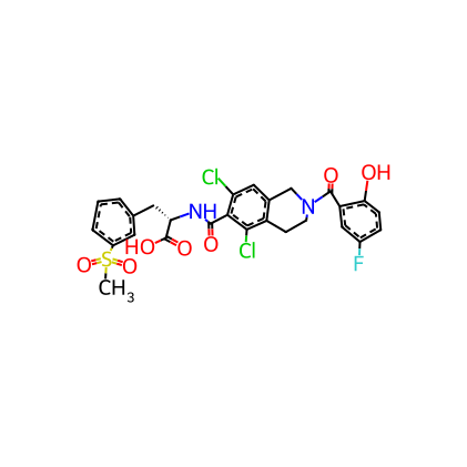 CS(=O)(=O)c1cccc(C[C@H](NC(=O)c2c(Cl)cc3c(c2Cl)CCN(C(=O)c2cc(F)ccc2O)C3)C(=O)O)c1